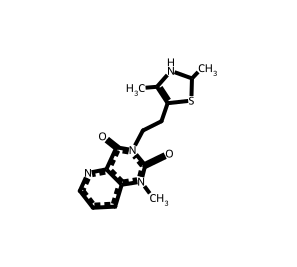 CC1=C(CCn2c(=O)c3ncccc3n(C)c2=O)SC(C)N1